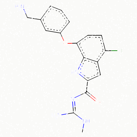 CNC(N)=NC(=O)c1cc2c(Cl)ccc(Oc3cccc(CN)c3)c2[nH]1